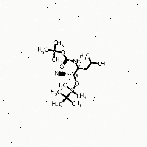 CC(C)C[C@H](NC(=O)OC(C)(C)C)[C@@H](C#N)O[Si](C)(C)C(C)(C)C